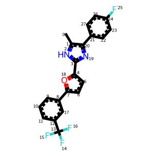 Cc1[nH]c(-c2ccc(-c3cccc(C(F)(F)F)c3)o2)nc1-c1ccc(F)cc1